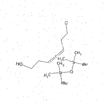 CC(C)(C)[Si](C)(C)O[Si](C)(C)C(C)(C)C.OCCC=C=CCCCl